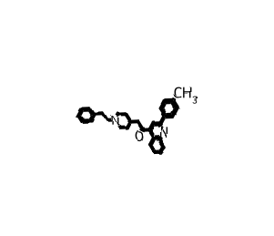 Cc1ccc(-c2cc(C(=O)CC3CCN(CCc4ccccc4)CC3)c3ccccc3n2)cc1